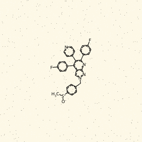 C[S+]([O-])c1ccc(Cn2cc3c(-c4ccc(F)cc4)c(-c4ccncc4)c(-c4ccc(F)cc4)nc3n2)cc1